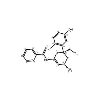 O=C(NC1=N[C@H](C(F)(F)F)C[C@@](CF)(c2cc(O)ccc2F)O1)c1ccccc1